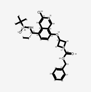 CC[C@H](N[S@@+]([O-])C(C)(C)C)c1ccc(OC2CN(C(=O)OCc3ccccc3)C2)c2cnc(Cl)cc12